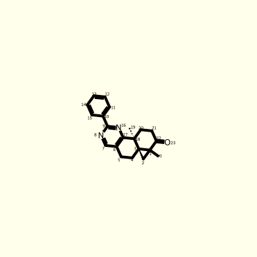 CC12C[C@]13CCc1cnc(-c4ccccc4)nc1[C@@]3(C)CCC2=O